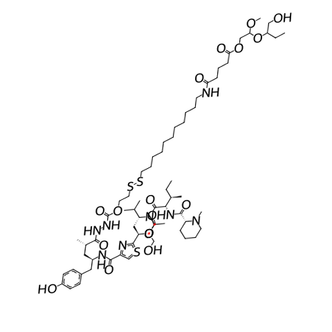 CCC(CO)OC(COC(=O)CCCC(=O)NCCCCCCCCCCCSSCCOC(=O)NNC(=O)[C@@H](C)C[C@H](Cc1ccc(O)cc1)NC(=O)c1csc([C@@H](C[C@H](C(C)C)N(COCO)C(=O)[C@@H](NC(=O)[C@H]2CCCCN2C)[C@H](C)CC)OC(C)=O)n1)OC